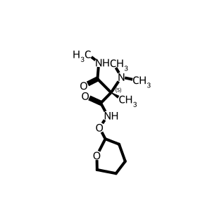 CNC(=O)[C@@](C)(C(=O)NOC1CCCCO1)N(C)C